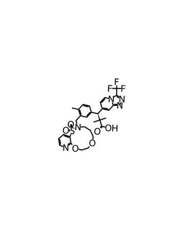 Cc1ccc([C@@H](c2ccn3c(C(F)(F)F)nnc3c2)C(C)(C)C(=O)O)cc1CN1CCCOCCOc2ncccc2S1(=O)=O